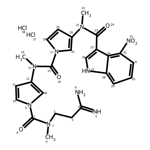 CN(CCC(=N)N)C(=O)n1ccc(N(C)C(=O)n2ccc(N(C)C(=O)c3c[nH]c4cccc([N+](=O)[O-])c34)c2)c1.Cl.Cl